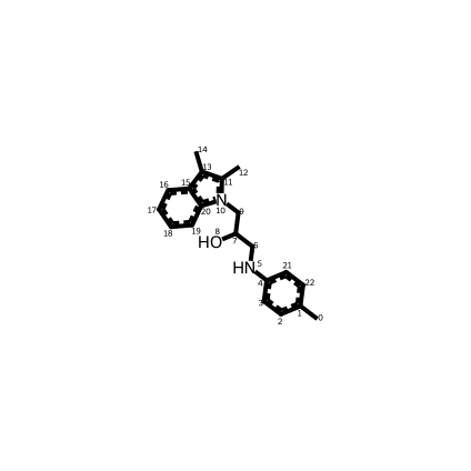 Cc1ccc(NCC(O)Cn2c(C)c(C)c3ccccc32)cc1